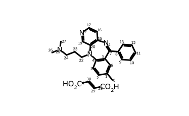 Cc1ccc2c(c1)C(c1ccccc1)=Nc1ccncc1N2CCCN(C)C.O=C(O)/C=C/C(=O)O